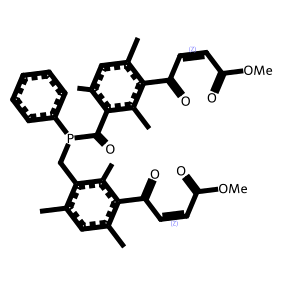 COC(=O)/C=C\C(=O)c1c(C)cc(C)c(CP(C(=O)c2c(C)cc(C)c(C(=O)/C=C\C(=O)OC)c2C)c2ccccc2)c1C